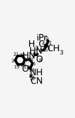 CC(C)CC(C)(C)CNC(=O)NC(CC(=O)NCC#N)C1CCCCC1